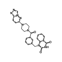 O=C(c1cccc(Cn2c(=O)[nH]c(=O)c3ccccc32)c1)N1CCN(c2ccc3nncn3n2)CC1